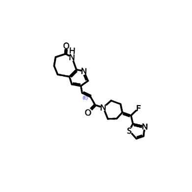 O=C1CCCc2cc(/C=C/C(=O)N3CCC(=C(F)c4nccs4)CC3)cnc2N1